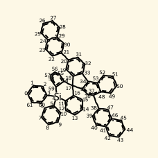 c1ccc([Si]2(c3ccccc3)c3ccccc3C3(c4cc(-c5ccc6ccccc6c5)ccc4-c4c3cc(-c3ccc5ccccc5c3)c3ccccc43)c3ccccc32)cc1